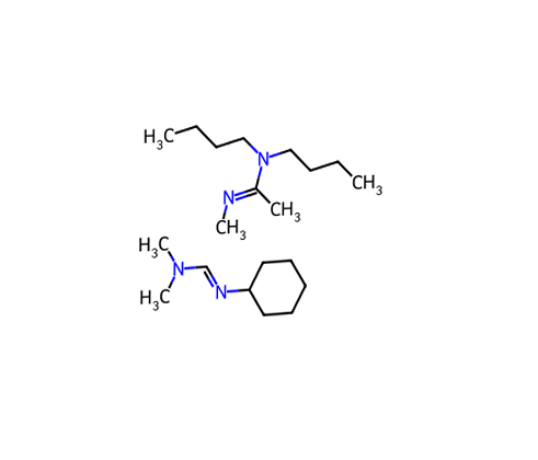 CCCCN(CCCC)C(C)=NC.CN(C)C=NC1CCCCC1